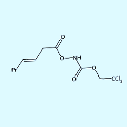 CC(C)/C=C/CC(=O)ONC(=O)OCC(Cl)(Cl)Cl